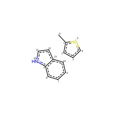 Cc1cccs1.c1ccc2[nH]ccc2c1